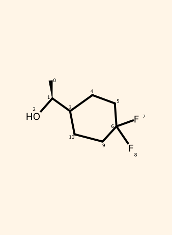 C[C@H](O)C1CCC(F)(F)CC1